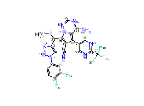 CCC(c1cn(-c2ccc(F)c(F)c2)nn1)c1c(C#N)c(-c2cnc(C(F)(F)F)nc2)c2c(N)ncnn12